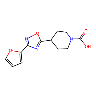 O=C(O)N1CCC(c2nc(-c3ccco3)no2)CC1